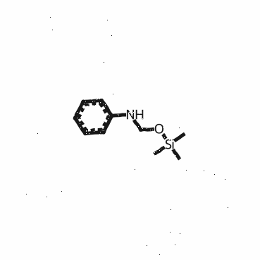 C[Si](C)(C)OCNc1ccccc1